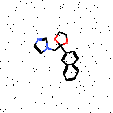 c1ccc2cc(C3(Cn4ccnc4)OCCO3)ccc2c1